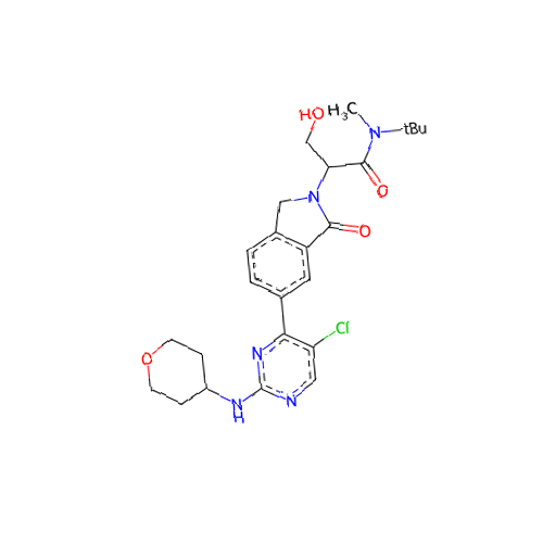 CN(C(=O)C(CO)N1Cc2ccc(-c3nc(NC4CCOCC4)ncc3Cl)cc2C1=O)C(C)(C)C